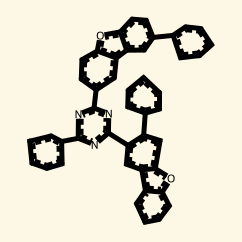 c1ccc(-c2ccc3oc4ccc(-c5nc(-c6ccccc6)nc(-c6cc7c(cc6-c6ccccc6)oc6ccccc67)n5)cc4c3c2)cc1